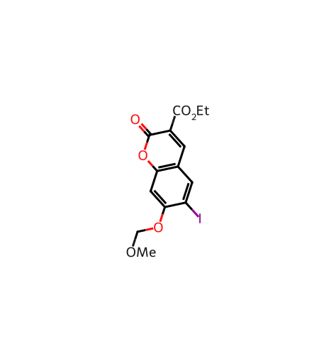 CCOC(=O)c1cc2cc(I)c(OCOC)cc2oc1=O